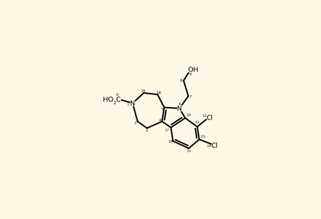 O=C(O)N1CCc2c(n(CCO)c3c(Cl)c(Cl)ccc23)CC1